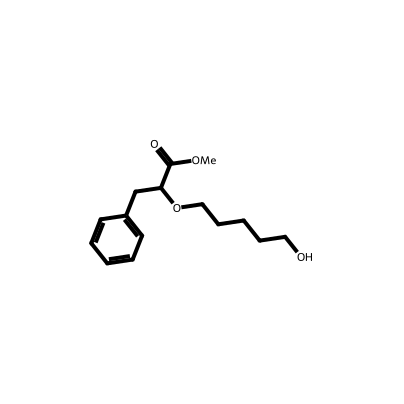 COC(=O)C(Cc1ccccc1)OCCCCCO